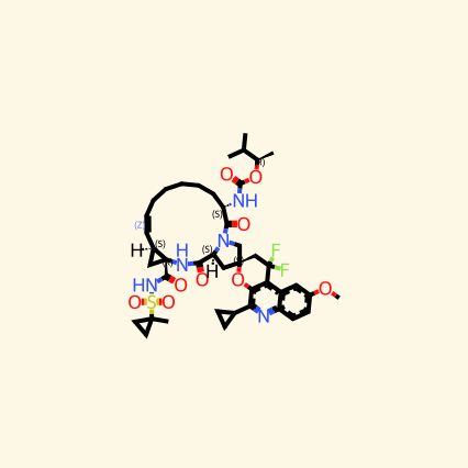 COc1ccc2nc(C3CC3)c3c(c2c1)C(F)(F)C[C@]1(C[C@H]2C(=O)N[C@]4(C(=O)NS(=O)(=O)C5(C)CC5)C[C@H]4/C=C\CCCCC[C@H](NC(=O)O[C@H](C)C(C)C)C(=O)N2C1)O3